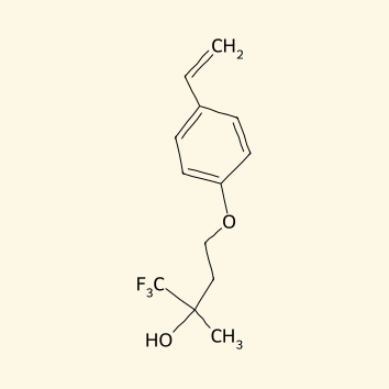 C=Cc1ccc(OCCC(C)(O)C(F)(F)F)cc1